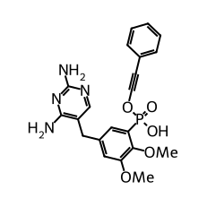 COc1cc(Cc2cnc(N)nc2N)cc(P(=O)(O)OC#Cc2ccccc2)c1OC